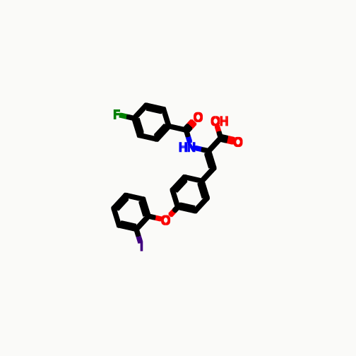 O=C(O)/C(=C/c1ccc(Oc2ccccc2I)cc1)NC(=O)c1ccc(F)cc1